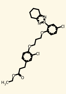 CCOC(=O)CCc1ccc(OCCCOc2ccc(Cl)cc2-n2nc3c(n2)CCCC3)c(Cl)c1